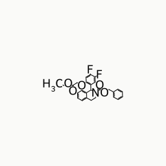 CCOC(=O)COc1cc(F)c(F)cc1C1c2ccccc2CCN1C(=O)OCc1ccccc1